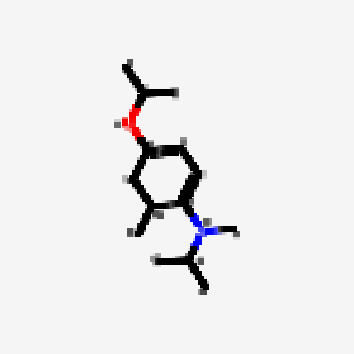 CC(C)OC1=CC=C(N(C)C(C)C)C(C)C1